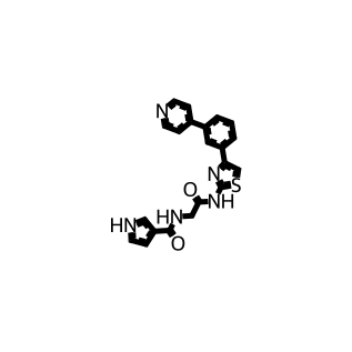 O=C(CNC(=O)c1cc[nH]c1)Nc1nc(-c2cccc(-c3ccncc3)c2)cs1